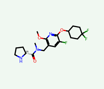 COc1nc(OC2CCC(F)(F)CC2)c(F)cc1CN(C)C(=O)[C@H]1CCCN1